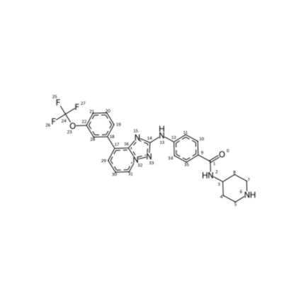 O=C(NC1CCNCC1)c1ccc(Nc2nc3c(-c4cccc(OC(F)(F)F)c4)cccn3n2)cc1